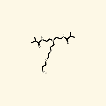 CC(C)C(=O)NCCN(CCNC(=O)C(C)C)CCOCCOCCN